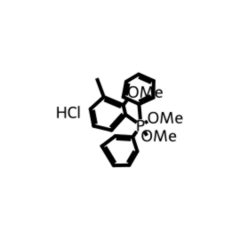 COc1c(C)cccc1P(OC)(OC)(c1ccccc1)c1ccccc1.Cl